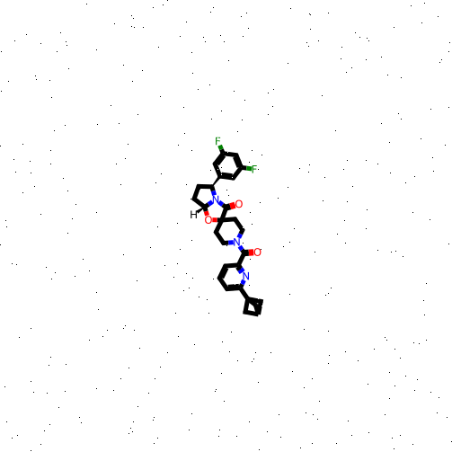 O=C(c1cccc(C23CC(C2)C3)n1)N1CCC2(CC1)O[C@@H]1CC[C@@H](c3cc(F)cc(F)c3)N1C2=O